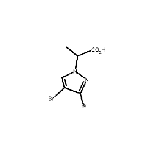 CC(C(=O)O)n1cc(Br)c(Br)n1